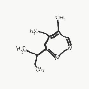 Cc1cnnc(C(C)C)c1C